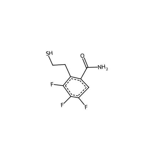 NC(=O)c1cc(F)c(F)c(F)c1CCS